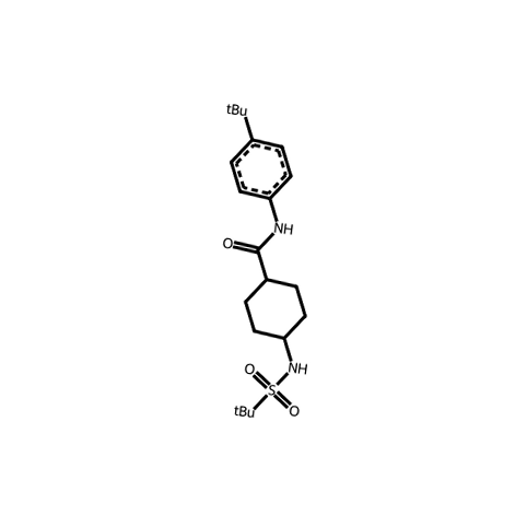 CC(C)(C)c1ccc(NC(=O)C2CCC(NS(=O)(=O)C(C)(C)C)CC2)cc1